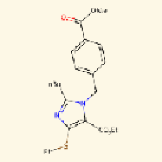 CCCCc1nc(SCC)c(C(=O)OCC)n1Cc1ccc(C(=O)OC)cc1